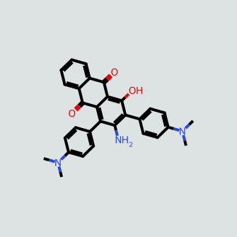 CN(C)c1ccc(-c2c(N)c(-c3ccc(N(C)C)cc3)c3c(c2O)C(=O)c2ccccc2C3=O)cc1